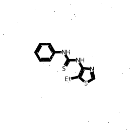 CCc1scnc1NC(=S)Nc1ccccc1